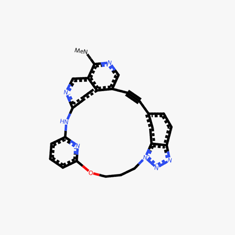 CNc1ncc2c3cc(ncc13)Nc1cccc(n1)OCCCn1nnc3ccc(cc31)C#C2